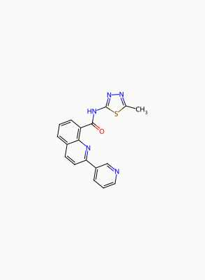 Cc1nnc(NC(=O)c2cccc3ccc(-c4cccnc4)nc23)s1